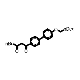 CCCCCCCCCCCOc1ccc(-c2ccc(C(=O)CC(=O)CCCC)cc2)cc1